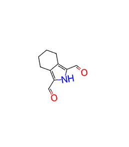 O=Cc1[nH]c(C=O)c2c1CCCC2